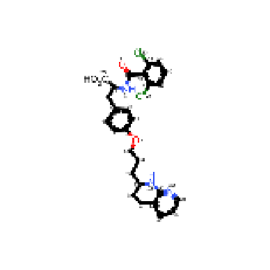 O=C(NC(Cc1ccc(OCCCC2CCc3cccnc3N2)cc1)C(=O)O)c1c(Cl)cccc1Cl